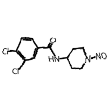 O=NN1CCC(NC(=O)c2ccc(Cl)c(Cl)c2)CC1